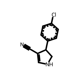 N#CC1=CNCC1c1ccc(Cl)cc1